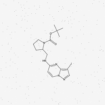 CC(C)(C)OC(=O)N1CCCC1CNc1ccn2ncc(I)c2n1